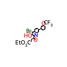 CCOC(=O)CCC(=O)c1nc2cc(-c3cccc(OC(F)(F)F)c3)ccc2c(Br)c1O